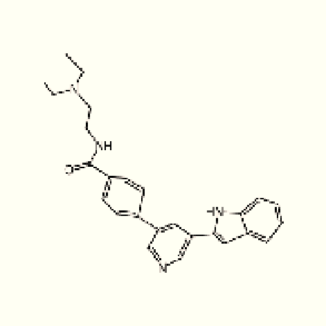 CCN(CC)CCNC(=O)c1ccc(-c2cncc(-c3cc4ccccc4[nH]3)c2)cc1